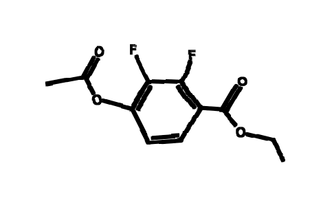 CCOC(=O)c1ccc(OC(C)=O)c(F)c1F